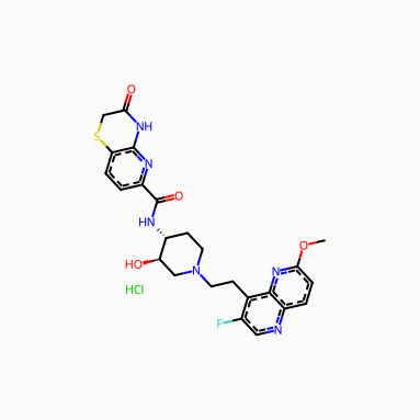 COc1ccc2ncc(F)c(CCN3CC[C@@H](NC(=O)c4ccc5c(n4)NC(=O)CS5)[C@H](O)C3)c2n1.Cl